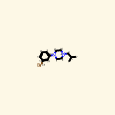 C[C](C)CN1CCN(c2cccc(Br)c2)CC1